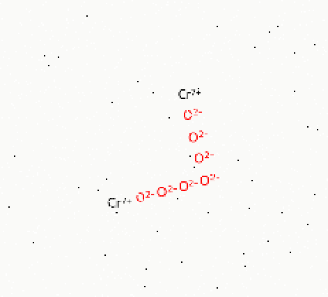 [Cr+7].[Cr+7].[O-2].[O-2].[O-2].[O-2].[O-2].[O-2].[O-2]